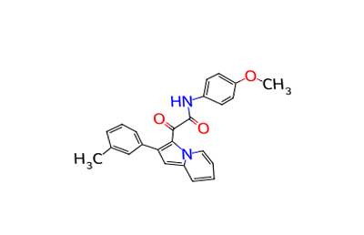 COc1ccc(NC(=O)C(=O)c2c(-c3cccc(C)c3)cc3ccccn23)cc1